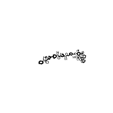 COc1cc2c(cc1OCc1cccc(CC(=O)Nc3cc(C(=O)Nc4ccc(-c5cc(C(=O)Nc6ccccc6)n(C)c5)cc4)n(C)c3)c1)N(C(=O)O)[C@@H](OC1CCCCO1)[C@@H]1CCCCN1C2=O